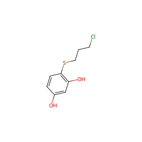 Oc1ccc(SCCCCl)c(O)c1